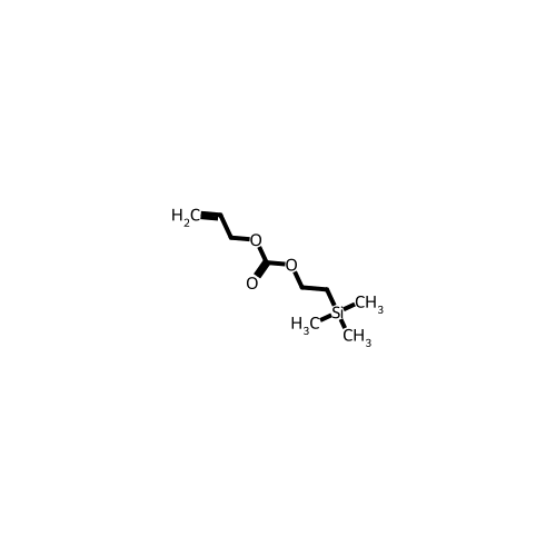 C=CCOC(=O)OCC[Si](C)(C)C